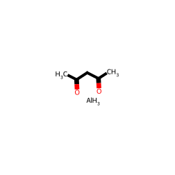 CC(=O)[CH]C(C)=O.[AlH3]